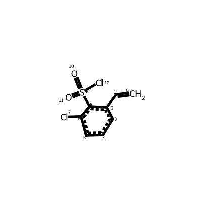 C=Cc1cccc(Cl)c1S(=O)(=O)Cl